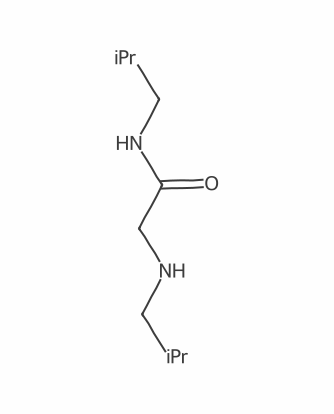 CC(C)CNCC(=O)NCC(C)C